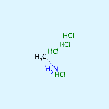 CN.Cl.Cl.Cl.Cl